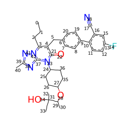 CCCc1c(Cc2ccc(-c3ccc(F)cc3C#N)cc2)c(=O)n(C2CCC(OC(C)C(C)(C)O)CC2)c2nc(C)nn12